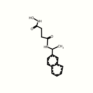 CC(NC(=O)CCC(=O)NO)c1ccc2ccccc2c1